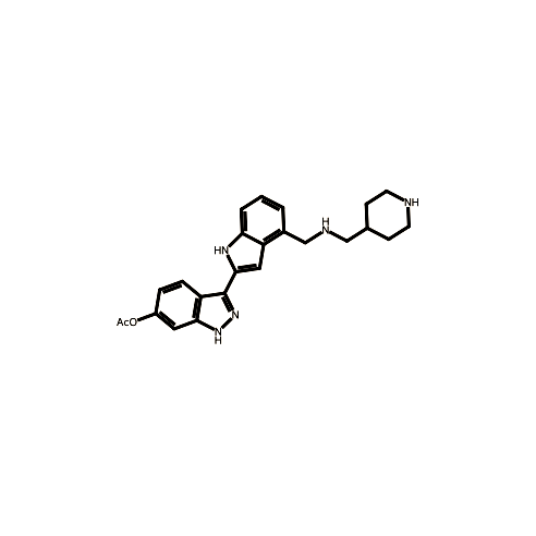 CC(=O)Oc1ccc2c(-c3cc4c(CNCC5CCNCC5)cccc4[nH]3)n[nH]c2c1